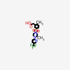 Cc1ccc(S(=O)(=O)N2CCN(c3ccc(C(F)(F)F)cn3)C(C)C2)cc1CC(=O)O